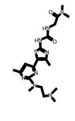 Cc1cc(-c2sc(NC(=O)NCC(=O)N(C)C)nc2C)nc(N(C)CCN(C)C)n1